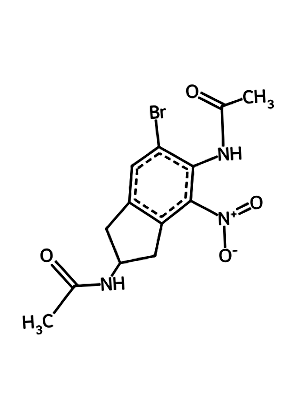 CC(=O)Nc1c(Br)cc2c(c1[N+](=O)[O-])CC(NC(C)=O)C2